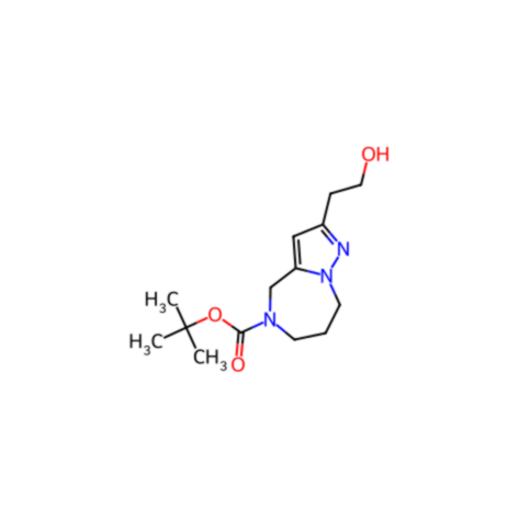 CC(C)(C)OC(=O)N1CCCn2nc(CCO)cc2C1